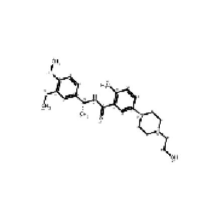 COc1ccc([C@@H](C)NC(=O)c2cc(N3CCN(CCO)CC3)ccc2C)cc1OC